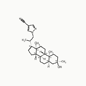 CC(Cn1cc(C#N)cn1)[C@H]1CC[C@H]2[C@@H]3CC[C@@H]4C[C@](C)(O)CC[C@]4(C)[C@H]3CC[C@]12C